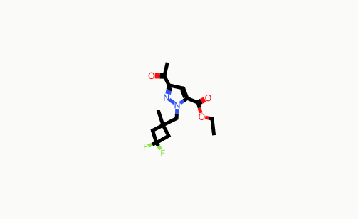 CCOC(=O)c1cc(C(C)=O)nn1CC1(C)CC(F)(F)C1